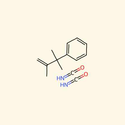 C=C(C)C(C)(C)c1ccccc1.N=C=O.N=C=O